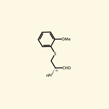 CCC[C@@H](C=O)CSc1ccccc1OC